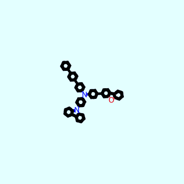 c1ccc(-c2ccc(-c3ccc(N(c4ccc(-c5ccc6c(c5)oc5ccccc56)cc4)c4ccc(-n5c6ccccc6c6ccccc65)cc4)cc3)cc2)cc1